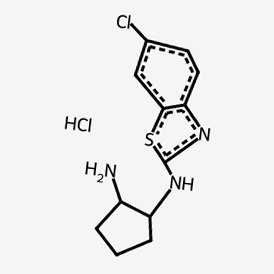 Cl.NC1CCCC1Nc1nc2ccc(Cl)cc2s1